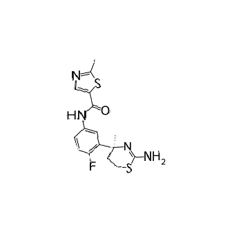 Cc1ncc(C(=O)Nc2ccc(F)c([C@]3(C)CCSC(N)=N3)c2)s1